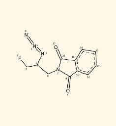 [N-]=[N+]=NC(CF)CN1C(=O)c2ccccc2C1=O